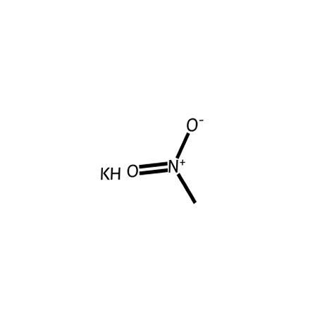 C[N+](=O)[O-].[KH]